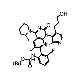 CC(C)c1nccc(CCCO)c1-n1c(=O)nc(N2CCCC[C@@H]2C)c2cc(F)c(-c3c(F)cccc3NC(=O)OC(C)(C)C)nc21